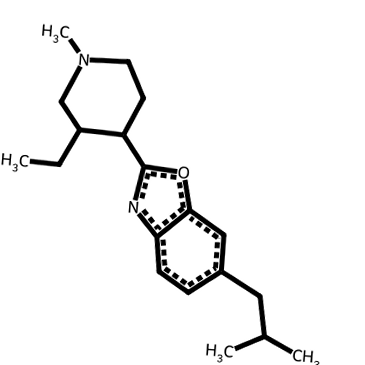 CCC1CN(C)CCC1c1nc2ccc(CC(C)C)cc2o1